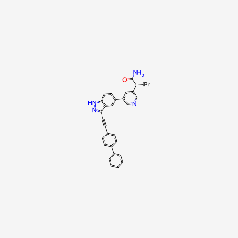 CC(C)C(C(N)=O)c1cncc(-c2ccc3[nH]nc(C#Cc4ccc(-c5ccccc5)cc4)c3c2)c1